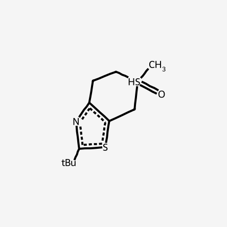 CC(C)(C)c1nc2c(s1)C[SH](C)(=O)CC2